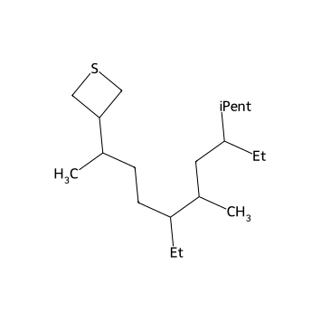 CCCC(C)C(CC)CC(C)C(CC)CCC(C)C1CSC1